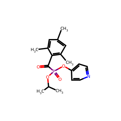 Cc1cc(C)c(C(=O)P(=O)(Oc2ccncc2)OC(C)C)c(C)c1